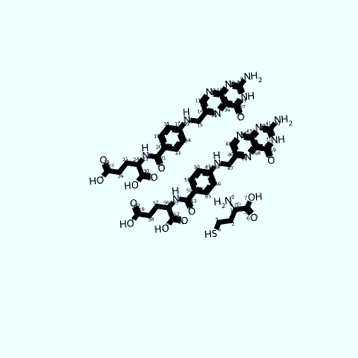 N[C@@H](CCS)C(=O)O.Nc1nc2ncc(CNc3ccc(C(=O)NC(CCC(=O)O)C(=O)O)cc3)nc2c(=O)[nH]1.Nc1nc2ncc(CNc3ccc(C(=O)NC(CCC(=O)O)C(=O)O)cc3)nc2c(=O)[nH]1